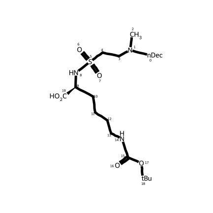 CCCCCCCCCCN(C)CCS(=O)(=O)N[C@@H](CCCCNC(=O)OC(C)(C)C)C(=O)O